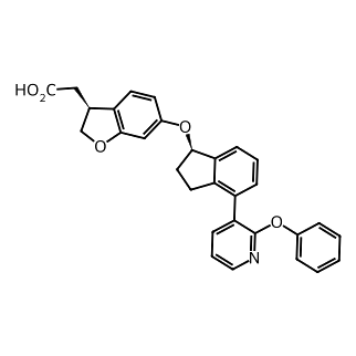 O=C(O)C[C@@H]1COc2cc(O[C@@H]3CCc4c(-c5cccnc5Oc5ccccc5)cccc43)ccc21